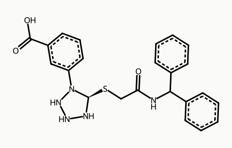 O=C(CS[C@H]1NNNN1c1cccc(C(=O)O)c1)NC(c1ccccc1)c1ccccc1